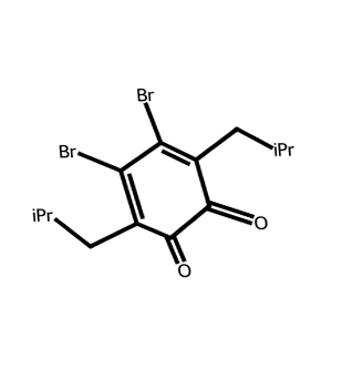 CC(C)CC1=C(Br)C(Br)=C(CC(C)C)C(=O)C1=O